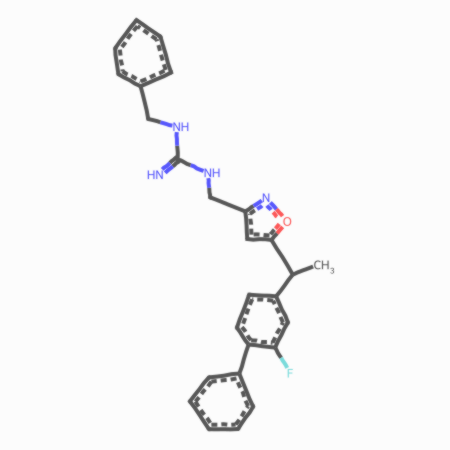 CC(c1ccc(-c2ccccc2)c(F)c1)c1cc(CNC(=N)NCc2ccccc2)no1